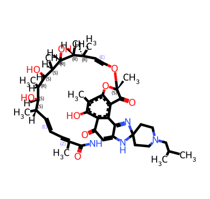 C/C1=C/C=C/[C@H](C)[C@H](O)[C@@H](C)[C@@H](O)[C@@H](C)[C@H](O)[C@H](C)[C@@H](C)/C=C/O[C@@]2(C)Oc3c(C)c(O)c4c(c3C2=O)C2=NC3(CCN(CC(C)C)CC3)NC2=C(NC1=O)C4=O